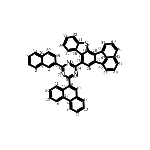 c1ccc2cc(-c3nc(-c4cc5ccccc5c5ccccc45)nc(-c4cc5c(c6sc7ccccc7c46)-c4cccc6cccc-5c46)n3)ccc2c1